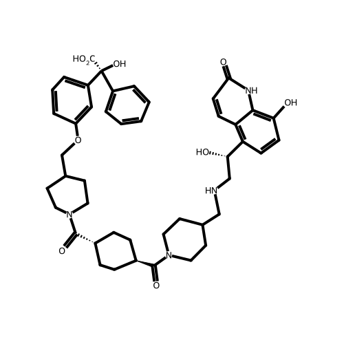 O=C(O)[C@](O)(c1ccccc1)c1cccc(OCC2CCN(C(=O)[C@H]3CC[C@H](C(=O)N4CCC(CNC[C@H](O)c5ccc(O)c6[nH]c(=O)ccc56)CC4)CC3)CC2)c1